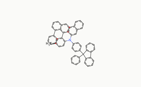 Cc1ccc(N(c2ccc(C3(c4ccccc4)c4ccccc4-c4ccccc43)cc2)c2ccc3ccccc3c2)c(-c2cccc3cccc(-c4ccccc4)c23)c1